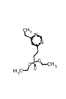 CCOP(=O)(CCc1cc(CC)ncn1)OCC